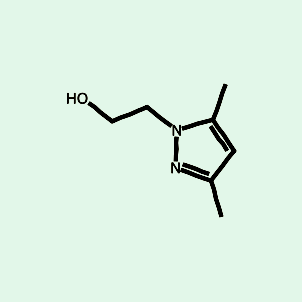 Cc1cc(C)n(CCO)n1